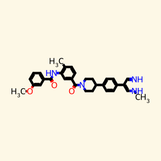 CN/C=C(\C=N)c1ccc(C2CCN(C(=O)c3ccc(C)c(NC(=O)c4cccc(OC)c4)c3)CC2)cc1